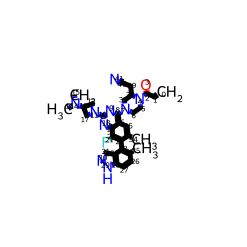 C=CC(=O)N1CCN(c2nc(N3CC(N(C)C)C3)nc3c(F)c(-c4c(C)ccc5[nH]ncc45)c(C)cc23)CC1CC#N